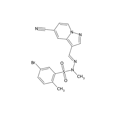 Cc1ccc(Br)cc1S(=O)(=O)N(C)N=Cc1cnn2ccc(C#N)cc12